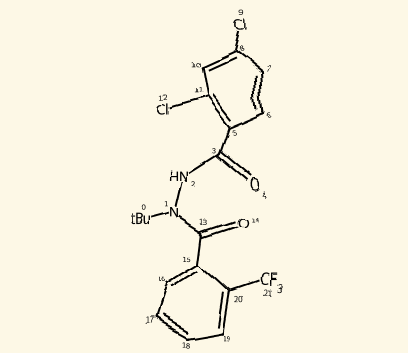 CC(C)(C)N(NC(=O)c1ccc(Cl)cc1Cl)C(=O)c1ccccc1C(F)(F)F